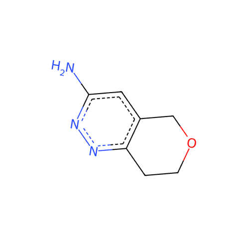 Nc1cc2c(nn1)CCOC2